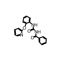 O=C(NC(=O)c1ccccc1)Nc1ccccc1Oc1ccccn1